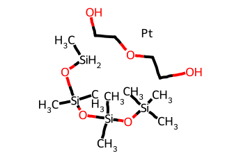 C[SiH2]O[Si](C)(C)O[Si](C)(C)O[Si](C)(C)C.OCCOCCO.[Pt]